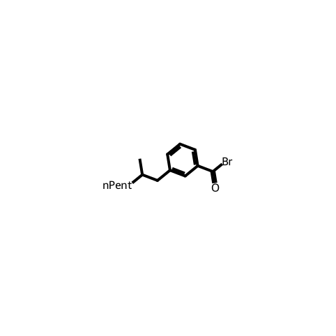 CCCCCC(C)Cc1cccc(C(=O)Br)c1